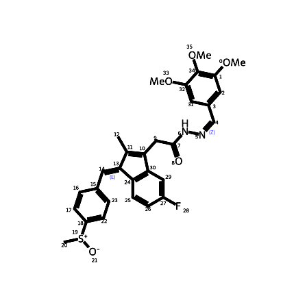 COc1cc(/C=N\NC(=O)CC2=C(C)/C(=C/c3ccc([S+](C)[O-])cc3)c3ccc(F)cc32)cc(OC)c1OC